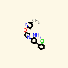 Nc1cc(-c2ccccc2Cl)ccc1N1CCC(Oc2ccc(C(F)(F)F)cn2)C1